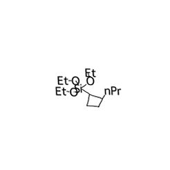 CCCC1CCC1[Si](OCC)(OCC)OCC